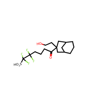 O=C(CCCC(F)(F)C(F)(F)S(=O)(=O)O)C1(CCO)CC2CCCC(C2)C1